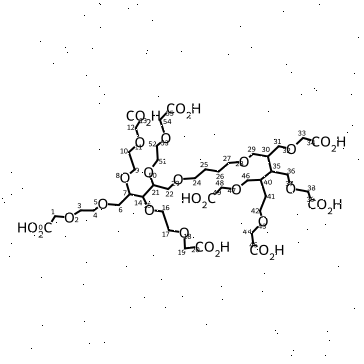 O=C(O)COCCOCC(OCCOCC(=O)O)C(OCCOCC(=O)O)C(COCCCCOCC(COCC(=O)O)C(COCC(=O)O)C(CCOCC(=O)O)COCC(=O)O)OCCOCC(=O)O